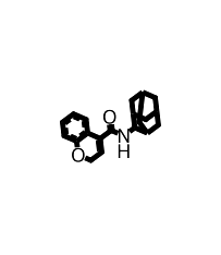 O=C(NC1C2CC3CC(C2)CC1C3)C1=CCOc2ccccc21